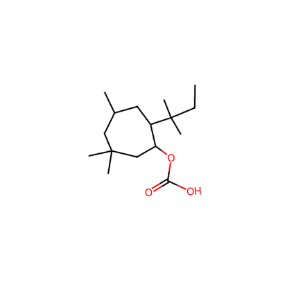 CCC(C)(C)C1CC(C)CC(C)(C)CC1OC(=O)O